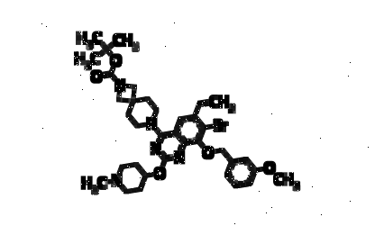 C=Cc1cc2c(N3CCC4(CC3)CN(C(=O)OC(C)(C)C)C4)nc(OC3CCN(C)CC3)nc2c(OCc2cccc(OC)c2)c1Br